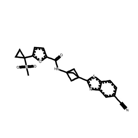 CS(=O)(=O)C1(c2ccc(C(=O)NC34CC(c5nc6cc(C#N)ccc6s5)(C3)C4)o2)CC1